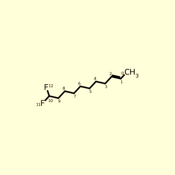 CC=CCCCCCCCC(F)F